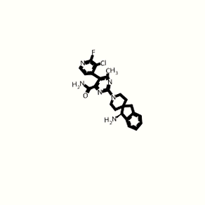 Cc1nc(N2CCC3(CC2)Cc2ccccc2[C@H]3N)nc(C(N)=O)c1-c1ccnc(F)c1Cl